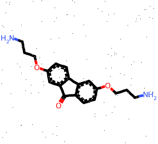 NCCCOc1ccc2c(c1)C(=O)c1ccc(OCCCN)cc1-2